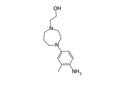 Cc1cc(N2CCCN(CCO)CC2)ccc1N